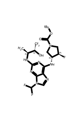 C[C@H](Nc1nc(N[C@@H]2CN(C(=O)OC(C)(C)C)C[C@H]2F)c2ncn(C(F)F)c2n1)[C@@H](O)C(F)(F)F